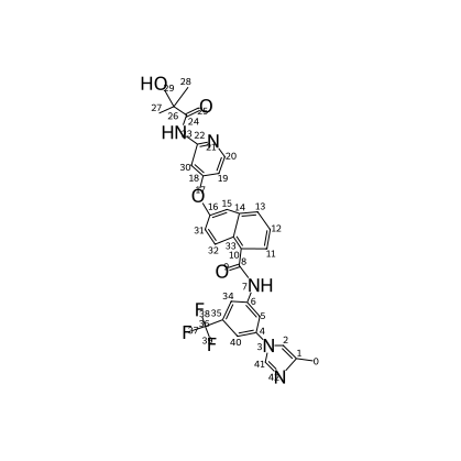 Cc1cn(-c2cc(NC(=O)c3cccc4cc(Oc5ccnc(NC(=O)C(C)(C)O)c5)ccc34)cc(C(F)(F)F)c2)cn1